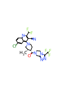 C[C@@H]1CN(c2c(C#N)c(C(F)F)nc3ccc(Cl)cc23)CC[C@@H]1C(=O)N1CCn2c(nnc2C(F)(F)F)C1